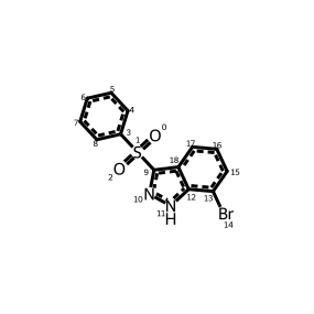 O=S(=O)(c1ccccc1)c1n[nH]c2c(Br)cccc12